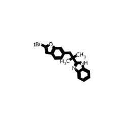 CC(C)(C)c1cc2ccc(CC(C)(C)c3nc4ccccc4[nH]3)cc2o1